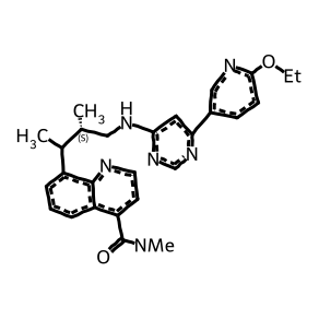 CCOc1ccc(-c2cc(NC[C@@H](C)C(C)c3cccc4c(C(=O)NC)ccnc34)ncn2)cn1